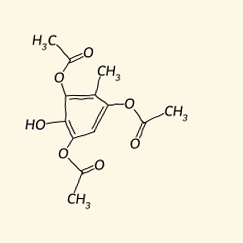 CC(=O)Oc1cc(OC(C)=O)c(O)c(OC(C)=O)c1C